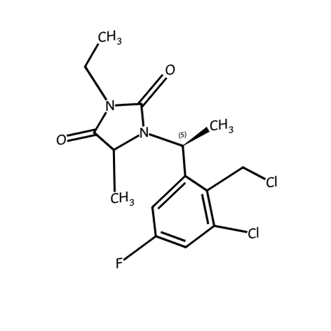 CCN1C(=O)C(C)N([C@@H](C)c2cc(F)cc(Cl)c2CCl)C1=O